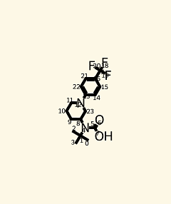 CC(C)(C)N(C(=O)O)C1CCCN(c2ccc(C(F)(F)F)cc2)C1